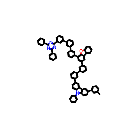 Cc1cccc(-c2ccc3c(c2)c2cc(-c4cccc(-c5cccc(-c6cc(-c7cccc(-c8cccc(-c9cccc(-c%10nc(-c%11ccccc%11)nc(-c%11ccccc%11)n%10)c9)c8)c7)c7oc8ccccc8c7c6)c5)c4)ccc2n3-c2ccccc2)c1